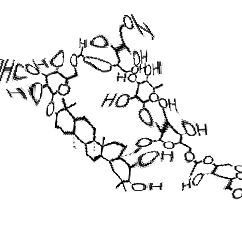 CC(OCC1O[C@@H](OC[C@@]23CC[C@]4(C)C(=CCC5[C@@]6(C)CC[C@H](O[C@@H]7OC(COC(C)OC(CO)[C@@H](O)C(O)CO)[C@@H](O)C(OC=O)C7O)C(C)(C)C6CC[C@]54C)C2CC(C)(C)[C@@H](O)[C@@H]3O)C(O[C@@H]2OC(C)[C@H](O)C(O)C2O)C(O)[C@@H]1O)OC(CO)[C@@H](O)C(O)CO